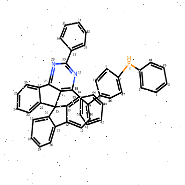 c1ccc(Pc2ccc(-c3ccc4c(c3)C3(c5ccccc5-4)c4ccccc4-c4nc(-c5ccccc5)nc(-c5ccccc5)c43)cc2)cc1